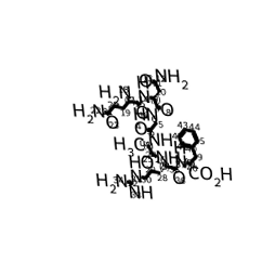 C[C@H](NC(=O)CNC(=O)[C@H](CC(N)=O)NC(=O)[C@@H](N)CCC(N)=O)C(=O)N[C@@H](CCCNC(=N)N)C(=O)N[C@@H](Cc1ccccc1)C(=O)O